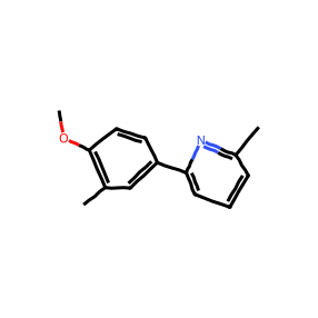 COc1ccc(-c2cccc(C)n2)cc1C